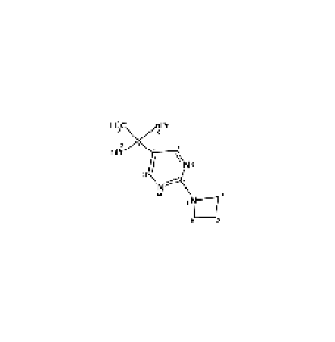 CCCC(C)(CCC)c1cnc(N2CCC2)nc1